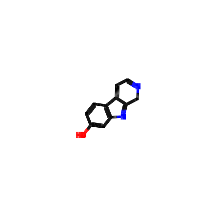 Oc1ccc2c(c1)N=C1CN=CC=C12